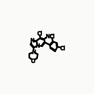 [C-]#[N+]c1c(-c2ccc(Cl)cc2Cl)cn2c(N3CCOCC3)cnc2c1Cl